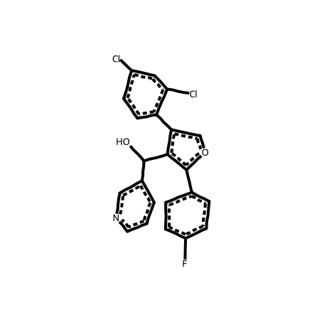 OC(c1cccnc1)c1c(-c2ccc(Cl)cc2Cl)coc1-c1ccc(F)cc1